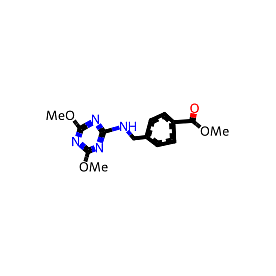 COC(=O)c1ccc(CNc2nc(OC)nc(OC)n2)cc1